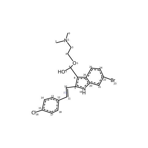 CN(C)CCOC(O)c1c(/C=C/c2ccc(Cl)cc2)[nH]c2cc(Br)ccc12